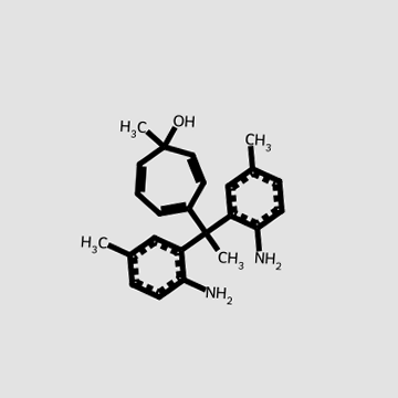 Cc1ccc(N)c(C(C)(C2=CC=CC(C)(O)C=C2)c2cc(C)ccc2N)c1